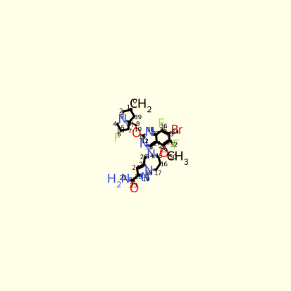 C=C1CN2C[C@@H](F)C[C@@]2(COc2nc(N3CCCn4nc(C(N)=O)cc4C3)c3c(OC)c(F)c(Br)c(F)c3n2)C1